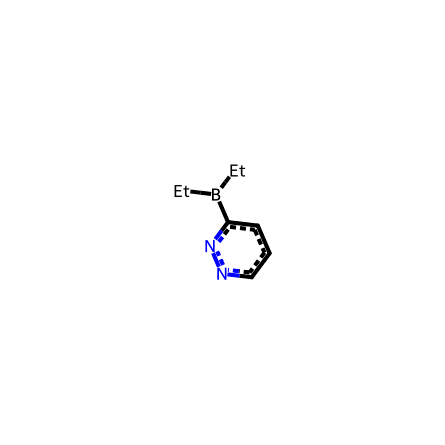 CCB(CC)c1cccnn1